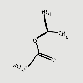 CC(OC(=O)C(=O)O)C(C)(C)C